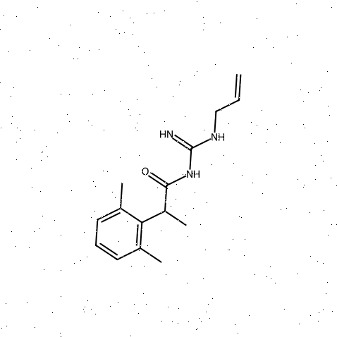 C=CCNC(=N)NC(=O)C(C)c1c(C)cccc1C